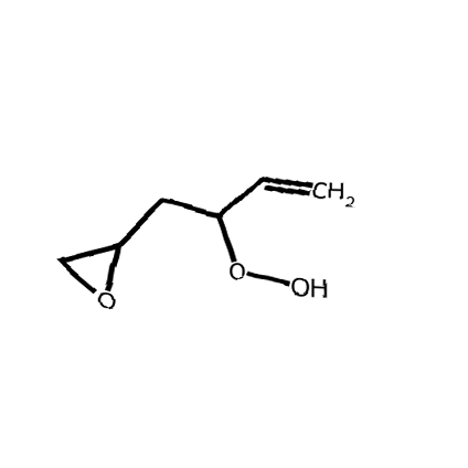 C=CC(CC1CO1)OO